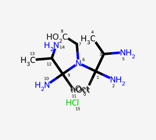 CCCCCCCCC(N)(C(C)N)N(CC(=O)O)C(N)(CCCCCCCC)C(C)N.Cl